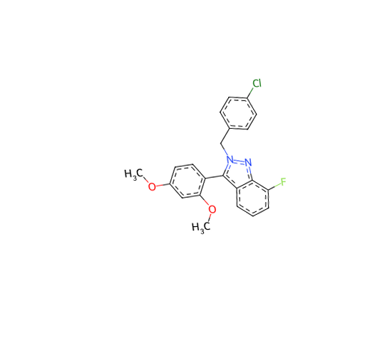 COc1ccc(-c2c3cccc(F)c3nn2Cc2ccc(Cl)cc2)c(OC)c1